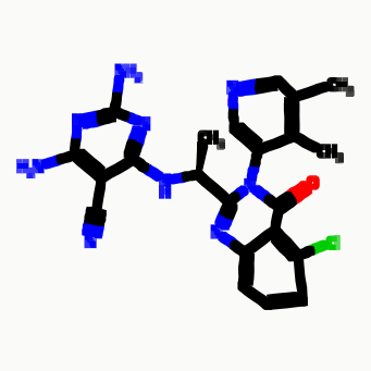 Cc1cncc(-n2c([C@H](C)Nc3nc(N)nc(N)c3C#N)nc3cccc(Cl)c3c2=O)c1C